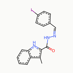 Cc1c(C(=O)N/N=C\c2ccc(I)cc2)[nH]c2ccccc12